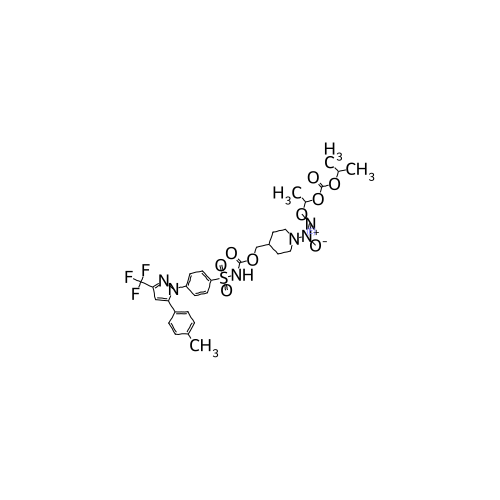 Cc1ccc(-c2cc(C(F)(F)F)nn2-c2ccc(S(=O)(=O)NC(=O)OCC3CCN(/[N+]([O-])=N\OC(C)OC(=O)OC(C)C)CC3)cc2)cc1